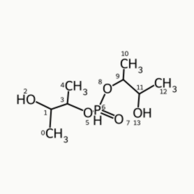 CC(O)C(C)O[PH](=O)OC(C)C(C)O